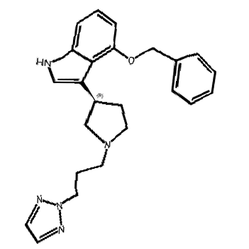 c1ccc(COc2cccc3[nH]cc([C@H]4CCN(CCCn5nccn5)C4)c23)cc1